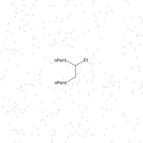 [CH2]CC(CCCCC)CCCCCC